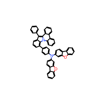 c1ccc(-c2c3cccc(-c4ccc(N(c5ccc6c(c5)oc5ccccc56)c5ccc6c(c5)oc5ccccc56)cc4)c3n3c4ccccc4c4ccccc4c23)cc1